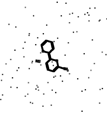 Cl.NC1=CC=CC(=C2C=CC=CO2)O1